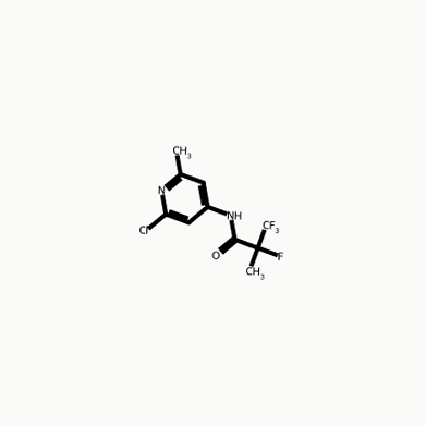 Cc1cc(NC(=O)C(C)(F)C(F)(F)F)cc(Cl)n1